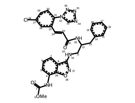 COC(=O)Nc1cccc2c(NCC(Cc3ccccc3)NC(=O)C=Cc3cc(Cl)ccc3-n3cnnn3)noc12